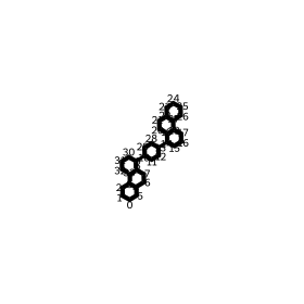 c1ccc2c(c1)ccc1c(-c3ccc(-c4cccc5c4ccc4ccccc45)cc3)cccc12